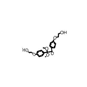 COC(OC)(C(=O)c1ccc(OCCO)cc1)c1ccc(OCCO)cc1